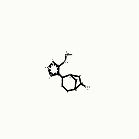 CCCCCCOc1nsnc1C1CCC2CN1CC2O